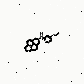 CCCc1ccnc(Nc2cc3ccc4cccc5ccc(c2)c3c45)c1